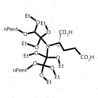 CCCCCOC(OCC)C(OCC)(OCC)N([C@@H](CCC(=O)O)C(=O)O)C(OCC)(OCC)C(OCC)(OCC)OCCCCC